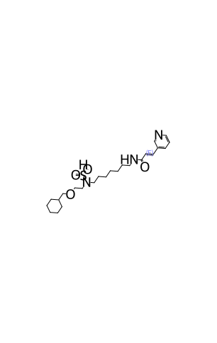 O=C(/C=C/c1cccnc1)NCCCCCCCN(CCOCC1CCCCC1)[SH](=O)=O